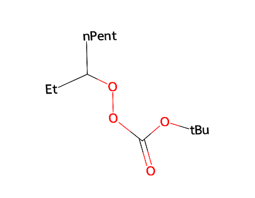 CCCCCC(CC)OOC(=O)OC(C)(C)C